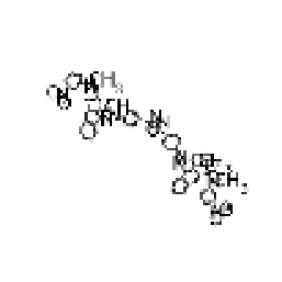 COc1c(CON(C)c2cccc([N+](=O)[O-])c2)cc2ccccc2c1N=Nc1ccc(-c2nnc(-c3ccc(N=Nc4c(OC)c(C(=O)N(C)c5cccc([N+](=O)[O-])c5)cc5ccccc45)cc3)o2)cc1